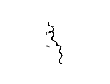 CCCCCC=CC=CC(=O)OCC.[Ru]